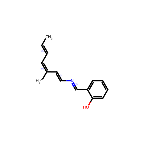 C/C=C/C=C(C)\C=C\N=C\c1ccccc1O